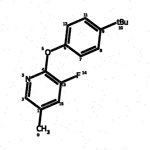 Cc1cnc(Oc2ccc(C(C)(C)C)cc2)c(F)c1